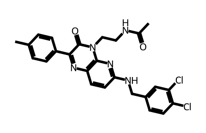 CC(=O)NCCn1c(=O)c(-c2ccc(C)cc2)nc2ccc(NCc3ccc(Cl)c(Cl)c3)nc21